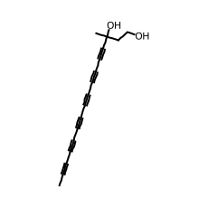 CC#CC#CC#CC#CC#CC#CC(C)(O)CCO